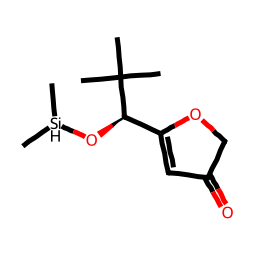 C[SiH](C)O[C@H](C1=CC(=O)CO1)C(C)(C)C